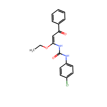 CCO/C(=C/C(=O)c1ccccc1)NC(=O)Nc1ccc(Cl)cc1